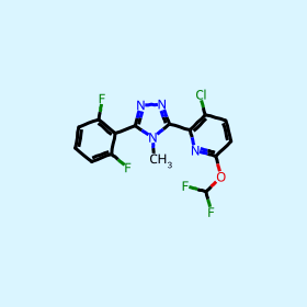 Cn1c(-c2nc(OC(F)F)ccc2Cl)nnc1-c1c(F)cccc1F